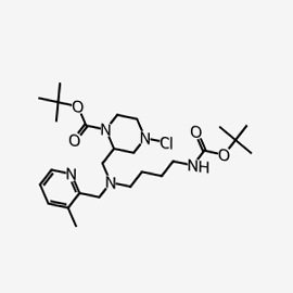 Cc1cccnc1CN(CCCCNC(=O)OC(C)(C)C)CC1CN(Cl)CCN1C(=O)OC(C)(C)C